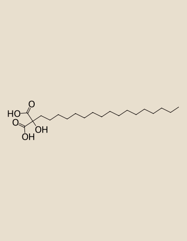 CCCCCCCCCCCCCCCCCC(O)(C(=O)O)C(=O)O